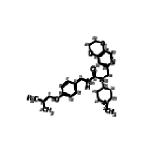 CC(C)COc1ccc(CNC(=O)N(Cc2cc3c(cn2)OCCO3)C2CCN(C)CC2)cc1